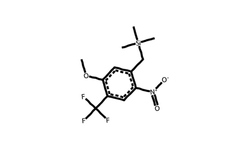 COc1cc(C[Si](C)(C)C)c([N+](=O)[O-])cc1C(F)(F)F